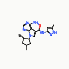 CCC1CC(C)CC1n1cc(C(=O)Nc2cc(C)[nH]n2)c2c(N)ncnc21